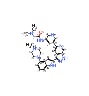 CN(C)CC(=O)Nc1cncc(-c2cc3c(-c4cc5c(N6CCN(C)CC6)cccc5[nH]4)n[nH]c3cn2)c1